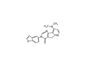 CN(C)c1ccnc2c1-c1ncn(-c3ccc4occc4c3)c(=O)c1C2